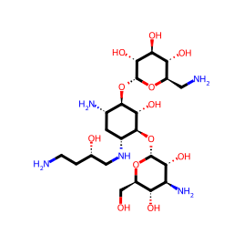 NCC[C@H](O)CN[C@@H]1C[C@H](N)[C@@H](O[C@H]2O[C@H](CN)[C@@H](O)[C@H](O)[C@H]2O)[C@H](O)[C@H]1O[C@H]1O[C@H](CO)[C@@H](O)[C@H](N)[C@H]1O